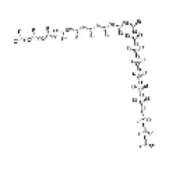 CC[O+](CC)CC.CC[O+](CC)CC.CC[O+](CC)CC.CC[O+](CC)CC.CC[O+](CC)CC.CC[O+](CC)CC.CC[O+](CC)CC.CC[O+](CC)CC.CC[O+](CC)CC.CC[O+](CC)CC.CC[O+](CC)CC.CC[O+](CC)CC.[O-]B([O-])F.[O-]B([O-])F.[O-]B([O-])F.[O-]B([O-])F.[O-]B([O-])F.[O-]B([O-])F